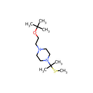 CSC(C)(C)N1CCN(CCOC(C)(C)C)CC1